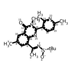 CC(=N[S@+]([O-])C(C)(C)C)c1cc(C)cc2c(=O)n(C)c(-c3ccc(C)nc3C)nc12